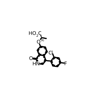 C[C@@H](Oc1ccc2c(-c3ccc(F)cc3Cl)c[nH]c(=O)c2c1)C(=O)O